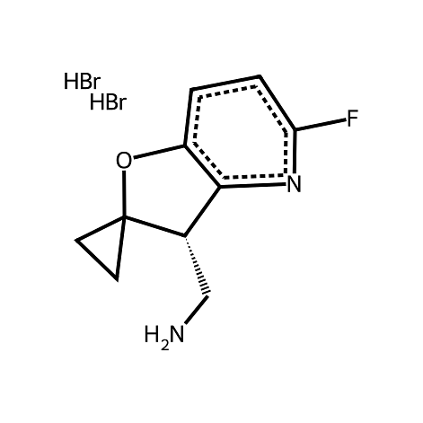 Br.Br.NC[C@H]1c2nc(F)ccc2OC12CC2